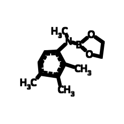 Cc1ccc(N(C)B2OCCO2)c(C)c1C